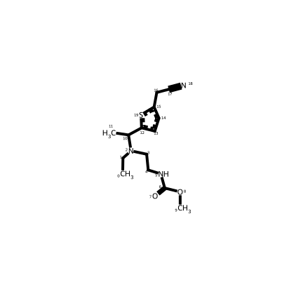 CCN(CCNC(=O)OC)C(C)c1ccc(CC#N)s1